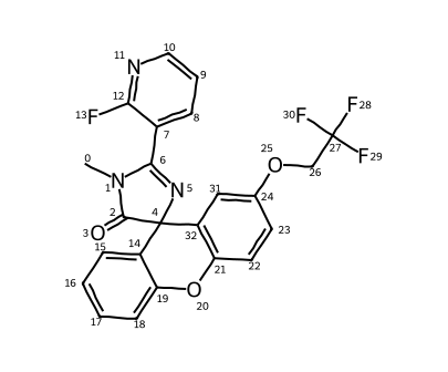 CN1C(=O)C2(N=C1c1cccnc1F)c1ccccc1Oc1ccc(OCC(F)(F)F)cc12